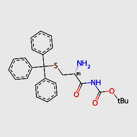 CC(C)(C)OC(=O)NC(=O)[C@@H](N)CSC(c1ccccc1)(c1ccccc1)c1ccccc1